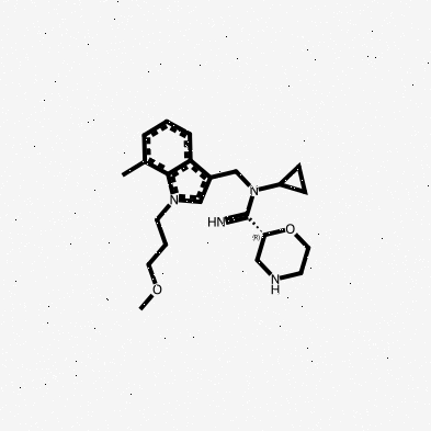 COCCCn1cc(CN(C(=N)[C@H]2CNCCO2)C2CC2)c2cccc(C)c21